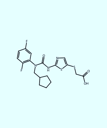 O=C(O)CSc1cnc(NC(=O)N(CC2CCCC2)c2cc(F)ccc2F)s1